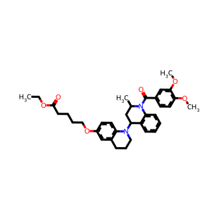 CCOC(=O)CCCCOc1ccc2c(c1)CCCN2C1CC(C)N(C(=O)c2ccc(OC)c(OC)c2)c2ccccc21